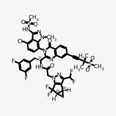 Cn1nc(NS(C)(=O)=O)c2c(Cl)ccc(-n3c([C@H](Cc4cc(F)cc(F)c4)NC(=O)Cn4nc(C(F)F)c5c4C(F)(F)[C@H]4C[C@@H]54)nc4cc(C#CC(C)(C)S(C)(=O)=O)ccc4c3=O)c21